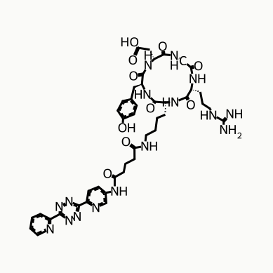 N=C(N)NCCC[C@H]1NC(=O)CNC(=O)[C@@H](CC(=O)O)NC(=O)[C@H](Cc2ccc(O)cc2)NC(=O)[C@@H](CCCCNC(=O)CCCC(=O)Nc2ccc(-c3nnc(-c4ccccn4)nn3)nc2)NC1=O